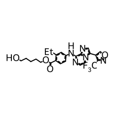 CCc1cc(Nc2nccn3c(-c4conc4C(F)(F)F)cnc23)ccc1C(=O)OCCCCCO